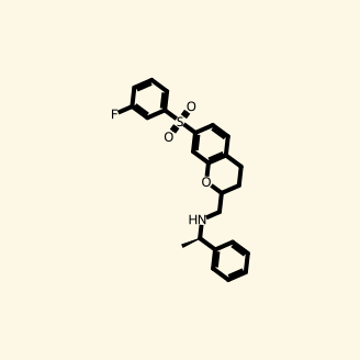 C[C@@H](NCC1CCc2ccc(S(=O)(=O)c3cccc(F)c3)cc2O1)c1ccccc1